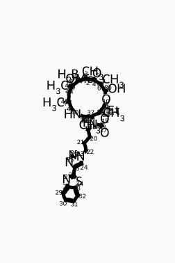 B[C@@H]1[C@@H](C)C(=O)[C@@H](C)C(O)O[C@H](CC)[C@@]2(C)OC(=O)N(CCCCn3cc(-c4nc5ccccc5s4)nn3)[C@@H]2[C@@H](C)NC[C@H](C)C[C@@]1(C)OC